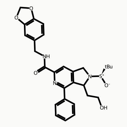 CC(C)(C)[S@@+]([O-])N1Cc2cc(C(=O)NCc3ccc4c(c3)OCO4)nc(-c3ccccc3)c2C1CCO